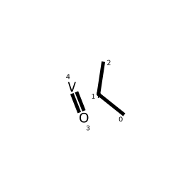 C[CH]C.[O]=[V]